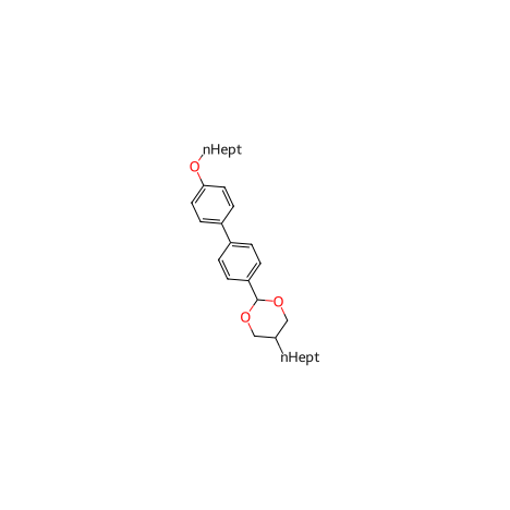 CCCCCCCOc1ccc(-c2ccc(C3OCC(CCCCCCC)CO3)cc2)cc1